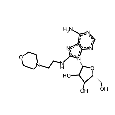 Nc1ncnc2c1nc(NCCN1CCOCC1)n2[C@@H]1O[C@H](CO)C(O)C1O